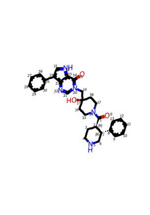 O=C([C@@H]1CCNC[C@H]1c1ccccc1)N1CCC(O)(Cn2cnc3c(-c4ccccc4)c[nH]c3c2=O)CC1